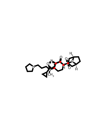 CN(CCCN1CCCC1)C1CCN(S(=O)(=O)N2[C@@H]3CC[C@H]2C[C@@H](NC(=O)c2cc(C4CC4)on2)C3)CC1